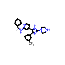 C[C@@H](Nc1cc(-c2[nH]c(N3CCNCC3)nc2-c2cccc(C(F)(F)F)c2)ccn1)c1ccccc1